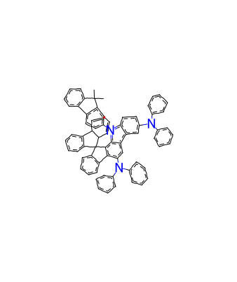 CC1(C)c2ccccc2-c2ccc(-n3c4ccc(N(c5ccccc5)c5ccccc5)cc4c4cc(N(c5ccccc5)c5ccccc5)c5c(c43)C3(c4ccccc4-5)c4ccccc4C4C=CC=CC43)cc21